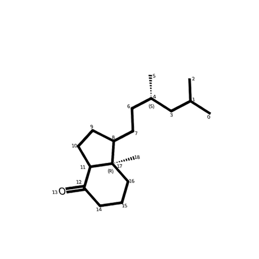 CC(C)C[C@@H](C)CCC1CCC2C(=O)CCC[C@]12C